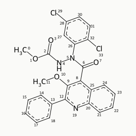 COC(=O)NN(C(=O)c1c(OC)c(-c2ccccc2)nc2ccccc12)c1cc(Cl)ccc1Cl